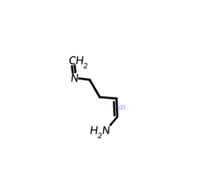 C=NCC/C=C\N